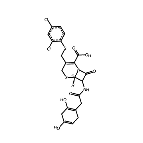 O=C(CC1=C(O)CC(O)=CC1)NC1C(=O)N2C(C(=O)O)=C(CSc3ccc(Cl)cc3Cl)CS[C@@H]12